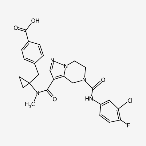 CN(C(=O)c1cnn2c1CN(C(=O)Nc1ccc(F)c(Cl)c1)CC2)C1(Cc2ccc(C(=O)O)cc2)CC1